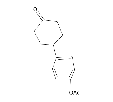 CC(=O)Oc1ccc(C2CCC(=O)CC2)cc1